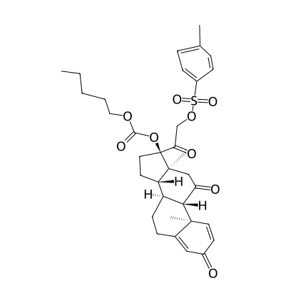 CCCCCOC(=O)O[C@]1(C(=O)COS(=O)(=O)c2ccc(C)cc2)CC[C@H]2[C@@H]3CCC4=CC(=O)C=C[C@]4(C)[C@H]3C(=O)C[C@@]21C